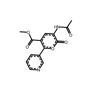 COC(=O)c1cc(NC(C)=O)c(=O)oc1-c1cccnc1